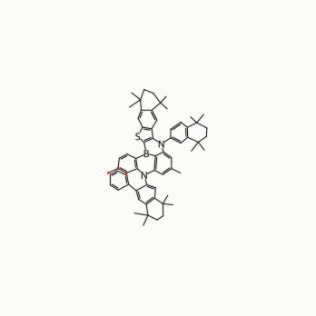 Cc1ccc2c(c1)N(c1cc3c(cc1-c1ccccc1)C(C)(C)CCC3(C)C)c1cc(C)cc3c1B2c1sc2cc4c(cc2c1N3c1ccc2c(c1)C(C)(C)CCC2(C)C)C(C)(C)CCC4(C)C